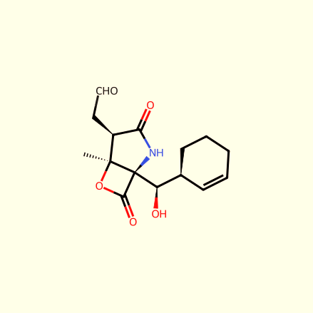 C[C@@]12OC(=O)[C@]1([C@H](O)[C@@H]1C=CCCC1)NC(=O)[C@@H]2CC=O